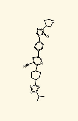 CC(C)c1nc(C2CCN(c3ncc(-c4ccc(-n5cnn(C6CCOC6)c5=O)cc4)cc3C#N)CC2)no1